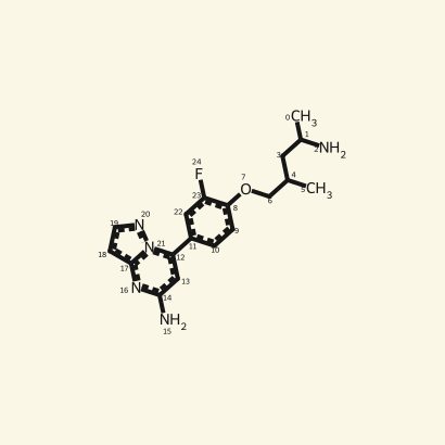 CC(N)CC(C)COc1ccc(-c2cc(N)nc3ccnn23)cc1F